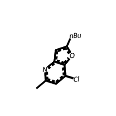 CCCCc1cc2nc(C)cc(Cl)c2o1